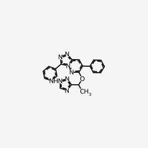 CC(Oc1nn2c(-c3cccnc3)nnc2cc1-c1ccccc1)c1nc[nH]n1